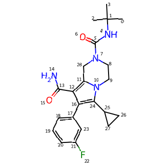 CC(C)(C)NC(=O)N1CCn2c(c(C(N)=O)c(-c3cccc(F)c3)c2C2CC2)C1